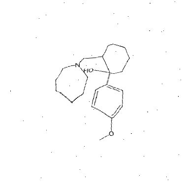 COc1ccc(C2(O)CCCCC2CN2CCCCCC2)cc1